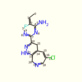 C\C=C(F)/C(N)=N\C(=N/C)C1=NNC2=C(C=C(Cl)C=NC2)C1